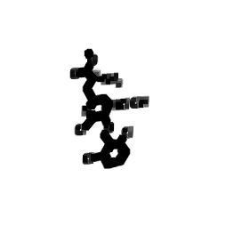 COC(=O)[C@@H](N)Cc1ccc(OCc2c(Cl)cccc2Cl)c(Cl)n1.Cl.Cl